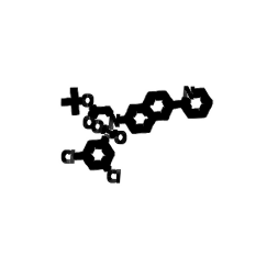 CC(C)(C)OC(=O)CN(c1ccc2cc(-c3ccccn3)ccc2c1)S(=O)(=O)c1cc(Cl)cc(Cl)c1